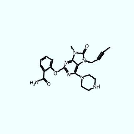 CC#CCn1c(=O)n(C)c2nc(Oc3ccccc3C(N)=O)nc(N3CCNCC3)c21